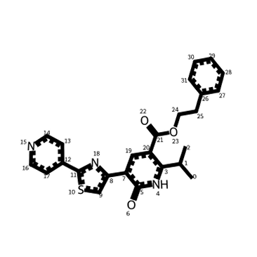 CC(C)c1[nH]c(=O)c(-c2csc(-c3ccncc3)n2)cc1C(=O)OCCc1ccccc1